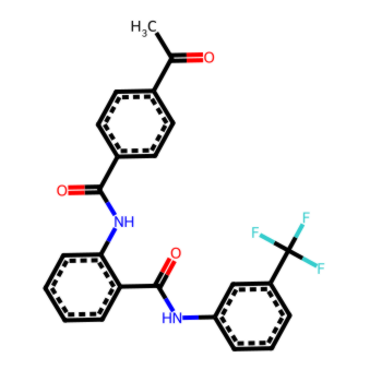 CC(=O)c1ccc(C(=O)Nc2ccccc2C(=O)Nc2cccc(C(F)(F)F)c2)cc1